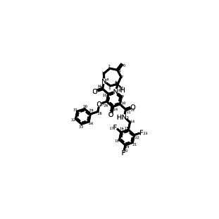 C=C1CCN2C[C@H](C1)n1cc(C(=O)NCc3c(F)cc(F)cc3F)c(=O)c(OCc3ccccc3)c1C2=O